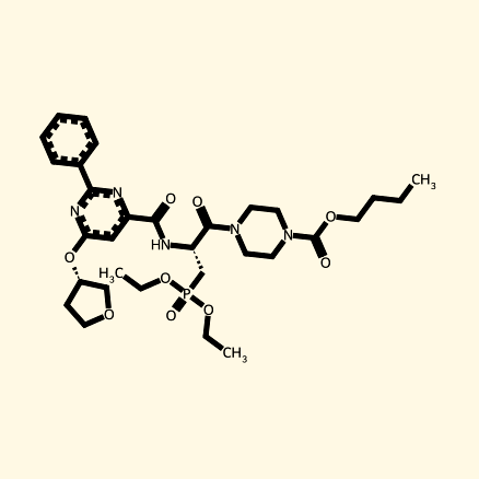 CCCCOC(=O)N1CCN(C(=O)[C@H](CP(=O)(OCC)OCC)NC(=O)c2cc(O[C@H]3CCOC3)nc(-c3ccccc3)n2)CC1